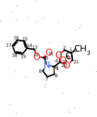 CC12COC([C@H]3CCCN3C(=O)OCc3ccccc3)(OC1)OC2